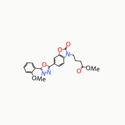 COC(=O)CCCn1c(=O)oc2cc(-c3nnc(-c4ccccc4OC)o3)ccc21